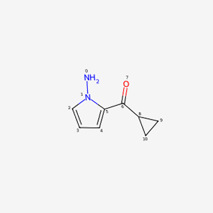 Nn1cccc1C(=O)C1CC1